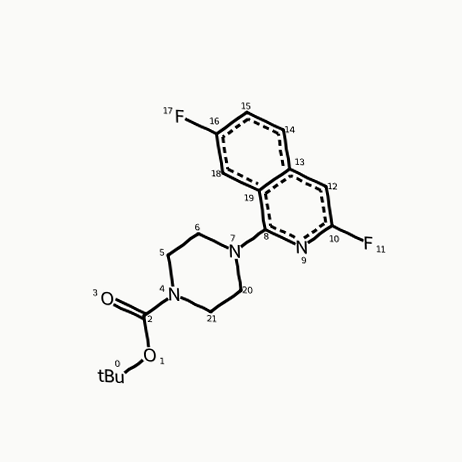 CC(C)(C)OC(=O)N1CCN(c2nc(F)cc3ccc(F)cc23)CC1